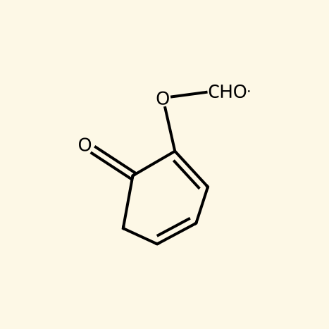 O=[C]OC1=CC=CCC1=O